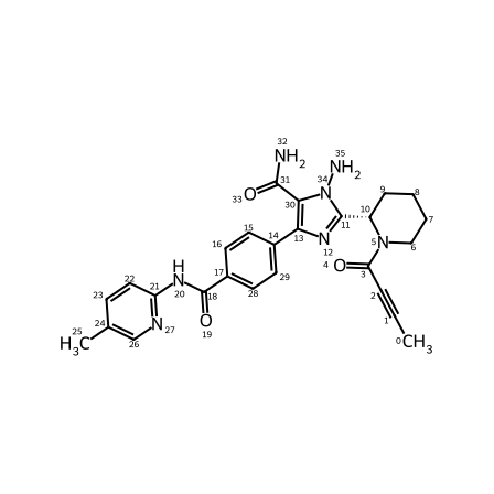 CC#CC(=O)N1CCCC[C@H]1c1nc(-c2ccc(C(=O)Nc3ccc(C)cn3)cc2)c(C(N)=O)n1N